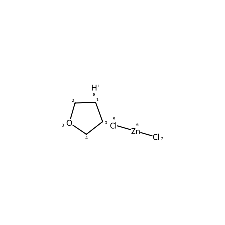 C1CCOC1.[Cl][Zn][Cl].[H+]